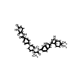 C[C@@H](C(=O)N(C)c1ccc2cc(-c3n[nH]c4c3CCC(C)(C)C4)[nH]c2c1)N1CCN(c2ccc(C(=O)NC3CCC(=O)NC3=O)nc2)CC1